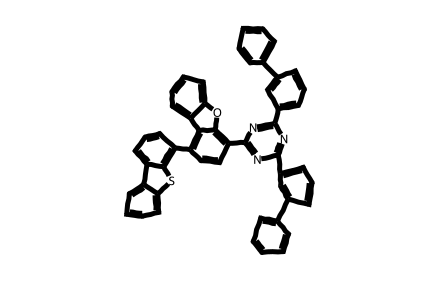 c1ccc(-c2cccc(-c3nc(-c4cccc(-c5ccccc5)c4)nc(-c4ccc(-c5cccc6c5sc5ccccc56)c5c4oc4ccccc45)n3)c2)cc1